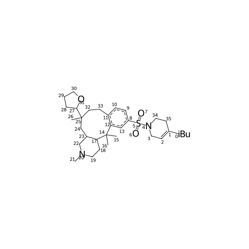 CCC(C)C1=CCN(S(=O)(=O)c2ccc3c(c2)C(C)(C)C2CCN(C)CC2CC(C)(C2CCCO2)CC3)CC1